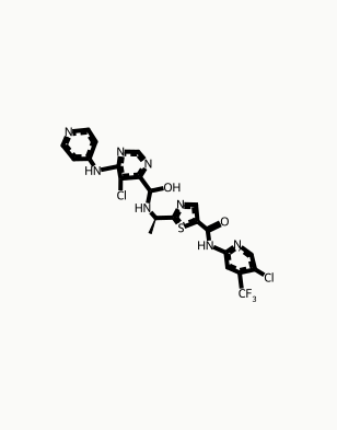 C[C@@H](NC(O)c1ncnc(Nc2ccncc2)c1Cl)c1ncc(C(=O)Nc2cc(C(F)(F)F)c(Cl)cn2)s1